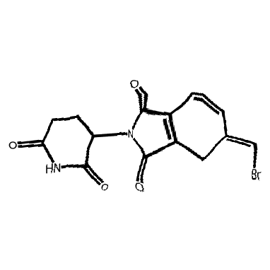 O=C1CCC(N2C(=O)C3=C(CC(=CBr)C=C3)C2=O)C(=O)N1